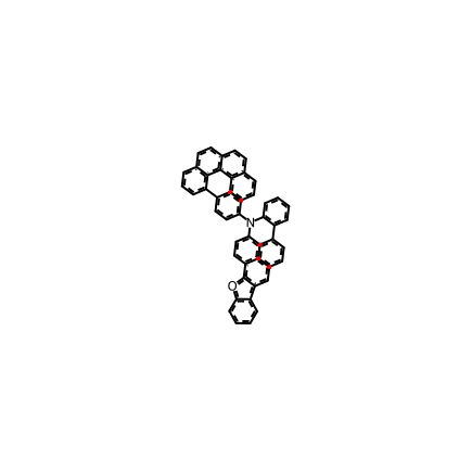 c1ccc(-c2ccccc2N(c2ccc(-c3cccc4ccc5ccc6ccccc6c5c34)cc2)c2ccc3c(ccc4c5ccccc5oc34)c2)cc1